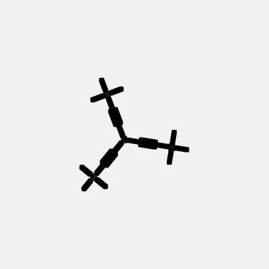 C[Si](C)(C)C#CB(C#C[Si](C)(C)C)C#C[Si](C)(C)C